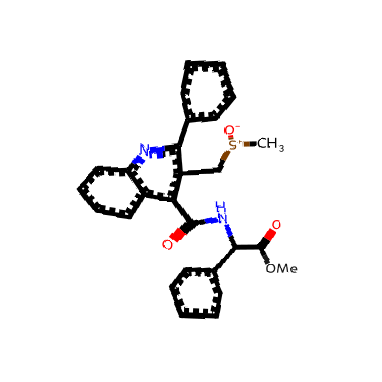 COC(=O)C(NC(=O)c1c(C[S+](C)[O-])c(-c2ccccc2)nc2ccccc12)c1ccccc1